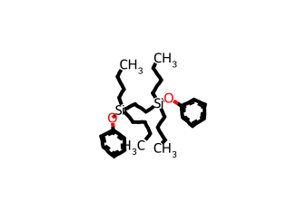 CCCC[Si](CCCC)(CC[Si](CCCC)(CCCC)Oc1ccccc1)Oc1ccccc1